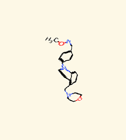 CO/N=C\c1ccc(-n2ccc3c(CN4CCOCC4)cccc32)cc1